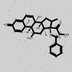 CC1C[C@H]2[C@@H]3C=CC4=CC(=O)C=C[C@]4(C)[C@H]3C(O)C[C@]2(C)[C@@]1(OC(=O)c1ccccc1)C(=O)CO